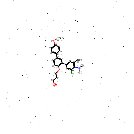 CCN(CC)c1c(Cl)cc(-c2cc(-c3ccc(OC(=O)O)cc3)ccc2OCCCO)cc1C(C)(C)C